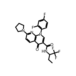 CCC(NC(=O)c1cn(-c2ccc(F)cc2F)c2nc(N3CCCC3)ccc2c1=O)C(F)(F)F